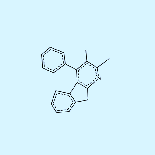 Cc1nc2c(c(-c3ccccc3)c1C)-c1ccccc1C2